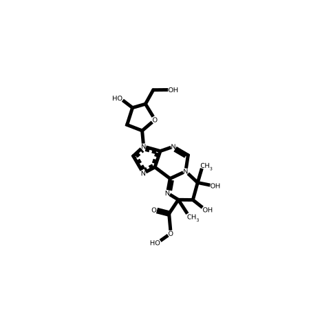 CC1(C(=O)OO)N=C2c3ncn(C4CC(O)C(CO)O4)c3N=CN2C(C)(O)C1O